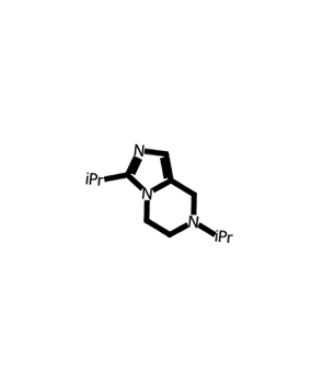 CC(C)c1ncc2n1CCN(C(C)C)C2